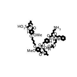 C=C1CC2C(O)N(C(=O)OCc3ccc(NC(=O)C(CCCCN)NC(=O)C(Cc4ccccc4)NC(=O)CCOC(C)(C)CO)cc3)c3cc(OCCCCCOc4cc5c(cc4OC)C(=O)N4CC(=C)CC4C(S(=O)(=O)O)N5)c(OC)cc3C(=O)N2C1